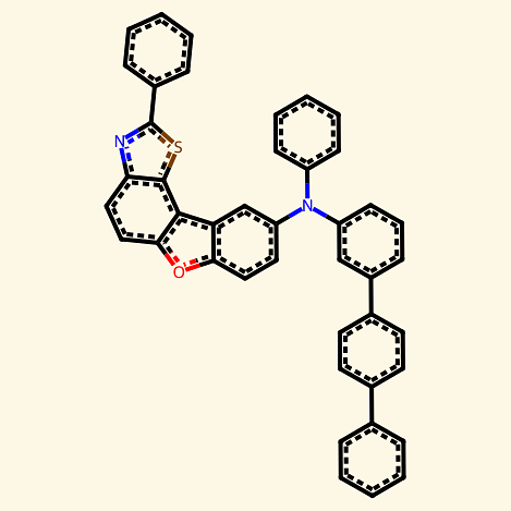 c1ccc(-c2ccc(-c3cccc(N(c4ccccc4)c4ccc5oc6ccc7nc(-c8ccccc8)sc7c6c5c4)c3)cc2)cc1